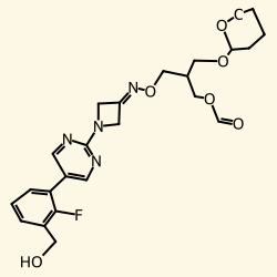 O=COCC(CON=C1CN(c2ncc(-c3cccc(CO)c3F)cn2)C1)COC1CCCCO1